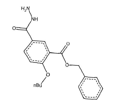 CCCCOc1ccc(C(=O)NN)cc1C(=O)OCc1ccccc1